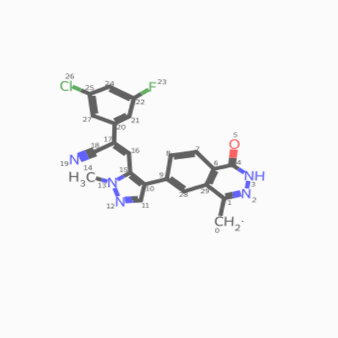 [CH2]c1n[nH]c(=O)c2ccc(-c3cnn(C)c3C=C(C#N)c3cc(F)cc(Cl)c3)cc12